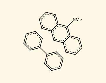 CNc1c2ccccc2cc2ccccc12.c1ccc(-c2ccccc2)cc1